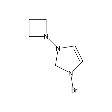 BrN1C=CN(N2CCC2)C1